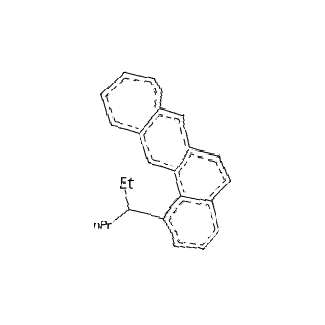 CCCC(CC)c1cccc2ccc3cc4ccccc4cc3c12